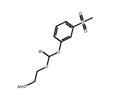 COCCOC(Br)Oc1cccc(S(C)(=O)=O)c1